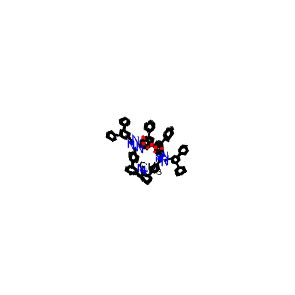 Cn1c2c(-c3ccc(-c4nc(-c5cc(-c6ccccc6)cc(-c6ccccc6)c5)nc(-c5cc(-c6ccccc6)cc(-c6ccccc6)c5)n4)cc3)cccc2c2cccc(-c3ccc(-c4nc(-c5cc(-c6ccccc6)cc(-c6ccccc6)c5)nc(-c5cc(-c6ccccc6)cc(-c6ccccc6)c5)n4)cc3)c21